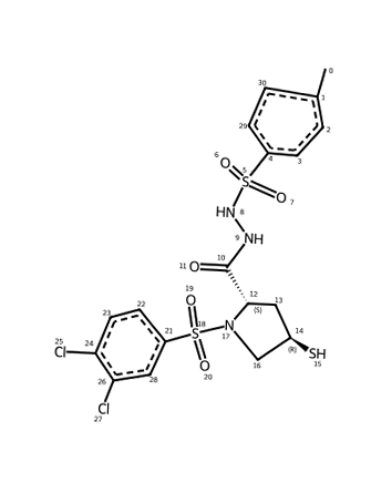 Cc1ccc(S(=O)(=O)NNC(=O)[C@@H]2C[C@@H](S)CN2S(=O)(=O)c2ccc(Cl)c(Cl)c2)cc1